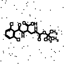 CC(C)(C)OC(=O)NCC(NC(=O)c1c(Cl)cccc1Cl)C(=O)O